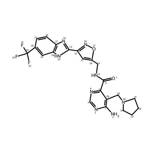 Nc1ncnc(C(=O)NCc2cc(-c3nc4ccc(C(F)(F)F)cc4[nH]3)no2)c1CN1CCCC1